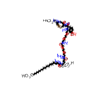 O=C(O)CCCCCCCCCCCCCCCCCCC(=O)N[C@@H](CCC(=O)NCCOCCOCC(=O)NCCOCCOCCN[C@@H](Cc1ccc(O)cc1)C(=O)CN[C@H]1CSSC[C@@H](C(=O)O)NCC1=O)C(=O)O